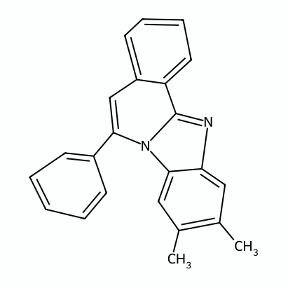 Cc1cc2nc3c4ccccc4cc(-c4ccccc4)n3c2cc1C